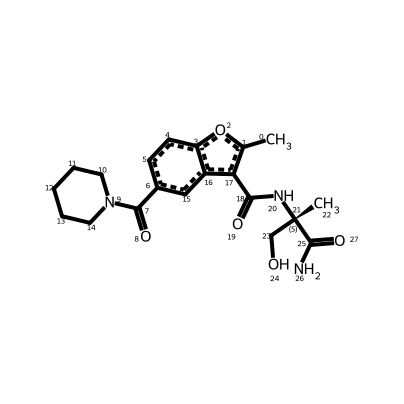 Cc1oc2ccc(C(=O)N3CCCCC3)cc2c1C(=O)N[C@@](C)(CO)C(N)=O